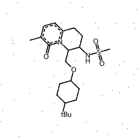 Cc1ccc2n(c1=O)C(COC1CCC(C(C)(C)C)CC1)C(NS(C)(=O)=O)CC2